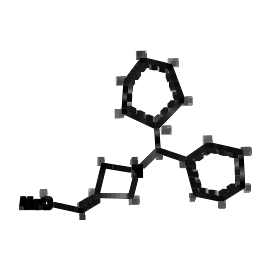 COC=C1CN(C(c2ccccc2)c2ccccc2)C1